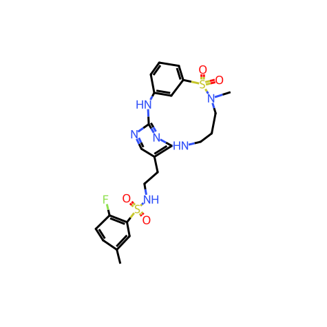 Cc1ccc(F)c(S(=O)(=O)NCCc2cnc3nc2NCCCN(C)S(=O)(=O)c2cccc(c2)N3)c1